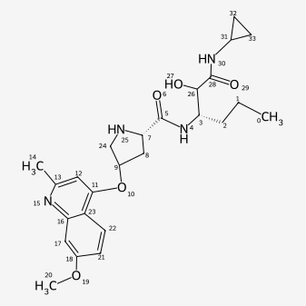 CCC[C@H](NC(=O)[C@@H]1CC(Oc2cc(C)nc3cc(OC)ccc23)CN1)C(O)C(=O)NC1CC1